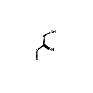 CSC(=N)CO